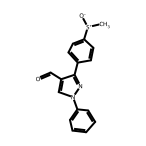 C[S+]([O-])c1ccc(-c2nn(-c3ccccc3)cc2C=O)cc1